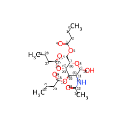 CCCC(=O)OC[C@H]1OC(O)[C@@H](NC(C)=O)[C@@H](OC(=O)CCC)[C@@H]1OC(=O)CCC